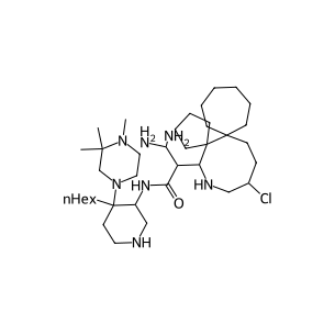 CCCCCCC1(N2CCN(C)C(C)(C)C2)CCNCC1NC(=O)C(C(N)N)C1NCC(Cl)CCC2(CCCCCC2)C12CCCC2